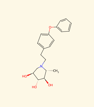 C[C@@H]1[C@@H](O)[C@H](O)[C@@H](O)CN1CCc1ccc(Oc2ccccc2)cc1